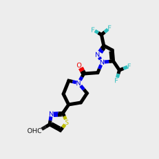 O=Cc1csc(C2CCN(C(=O)Cn3nc(C(F)F)cc3C(F)F)CC2)n1